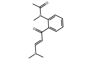 CC(=O)N(C)c1ccccc1C(=O)C=CN(C)C